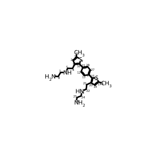 Cc1cc(CCNCCN)c(-c2ccc(-c3sc(C)cc3CCNCCN)cc2)s1